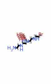 Br.Br.Br.Br.NCCNCCNCCNCCBr